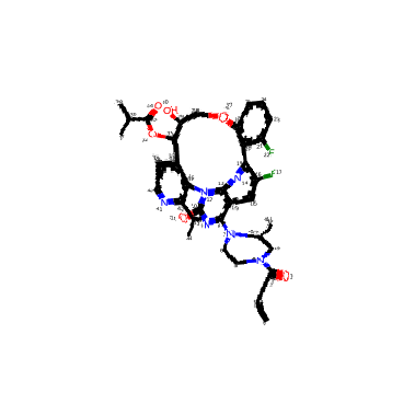 C=CC(=O)N1CCN(c2nc(=O)n3c4nc(c(F)cc24)-c2c(F)cccc2OCC(O)C(OC(=O)C(C)C)c2ccnc(C(C)C)c2-3)[C@@H](C)C1